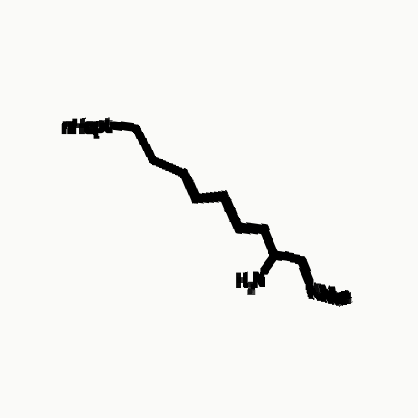 CCCCCCCCCCCCCCC(N)CNC